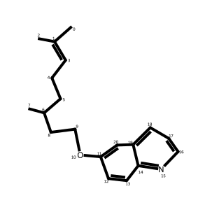 CC(C)=CCCC(C)CCOc1ccc2ncccc2c1